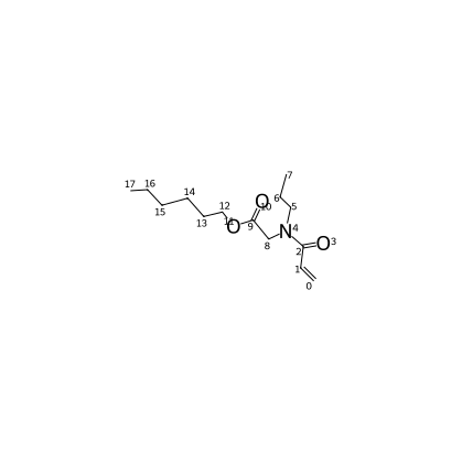 C=CC(=O)N(CCC)CC(=O)OCCCCCC